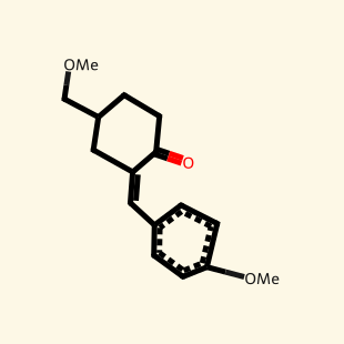 COCC1CCC(=O)/C(=C\c2ccc(OC)cc2)C1